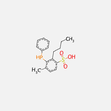 CCCCc1c(S(=O)(=O)O)ccc(C)c1Pc1ccccc1